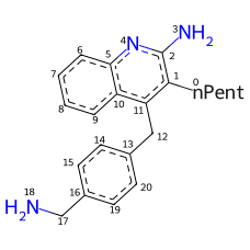 CCCCCc1c(N)nc2ccccc2c1Cc1ccc(CN)cc1